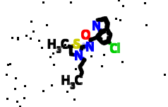 CCCCN1CC(C)S/C1=N\C(=O)c1cc(Cl)cc2cccnc12